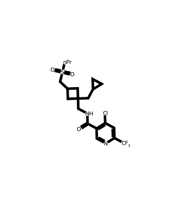 CCCS(=O)(=O)CC1CC(CNC(=O)c2cnc(C(F)(F)F)cc2Cl)(CC2CC2)C1